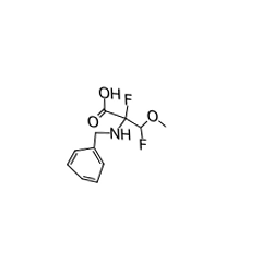 COC(F)C(F)(NCc1ccccc1)C(=O)O